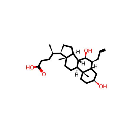 C=CC[C@@H]1[C@H](O)[C@@H]2[C@H](CC[C@]3(C)[C@@H]([C@H](C)CCC(=O)O)CC[C@@H]23)[C@@]2(C)CC[C@H](O)C[C@@H]12